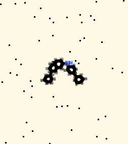 c1ccc(-c2ccc(Nc3ccc4ccc(-c5ccccc5)cc4c3)cc2)cc1